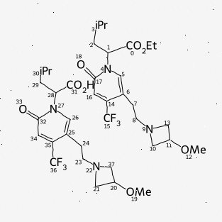 CCOC(=O)C(CC(C)C)n1cc(CCN2CC(OC)C2)c(C(F)(F)F)cc1=O.COC1CN(CCc2cn(C(CC(C)C)C(=O)O)c(=O)cc2C(F)(F)F)C1